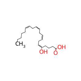 CCCCC/C=C\C/C=C\C/C=C\C/C=C(/O)CCCC(=O)O